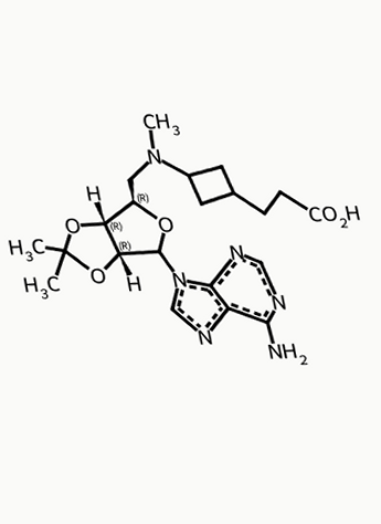 CN(C[C@H]1OC(n2cnc3c(N)ncnc32)[C@@H]2OC(C)(C)O[C@H]12)C1CC(CCC(=O)O)C1